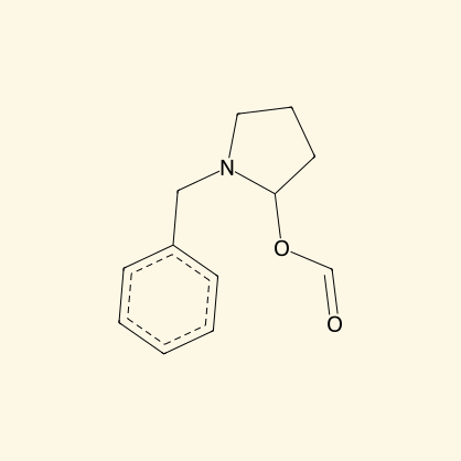 O=COC1CCCN1Cc1ccccc1